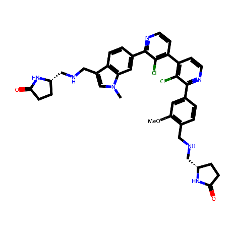 COc1cc(-c2nccc(-c3ccnc(-c4ccc5c(CNC[C@@H]6CCC(=O)N6)cn(C)c5c4)c3Cl)c2Cl)ccc1CNC[C@@H]1CCC(=O)N1